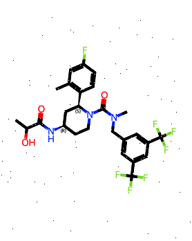 Cc1cc(F)ccc1[C@@H]1C[C@H](NC(=O)C(C)O)CCN1C(=O)N(C)Cc1cc(C(F)(F)F)cc(C(F)(F)F)c1